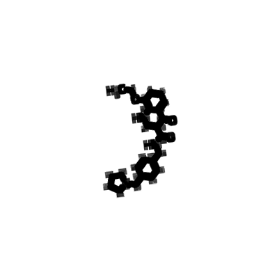 CCOc1cccc2c(=O)c(C(=O)NCc3ccc(CN4CCCC4)cc3)c[nH]c12